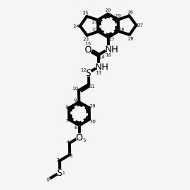 CSCCCOc1ccc(/C=C/SNC(=O)Nc2c3c(cc4c2CCC4)CCC3)cc1